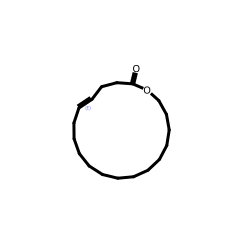 O=C1CC/C=C/CCCCCCCCCCCCCO1